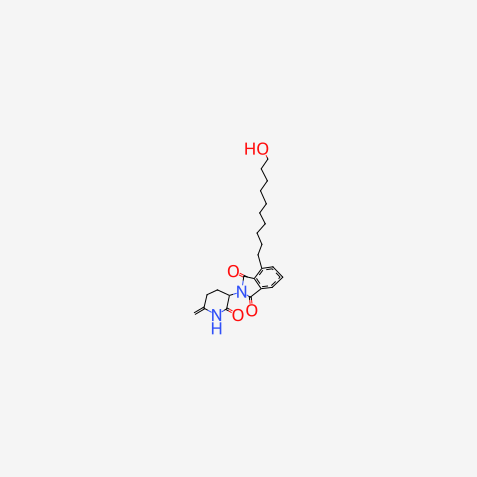 C=C1CCC(N2C(=O)c3cccc(CCCCCCCCCCO)c3C2=O)C(=O)N1